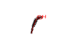 CCCCCCCCCCCCCCCCCCCCCCCCC#CC#CC(=O)O